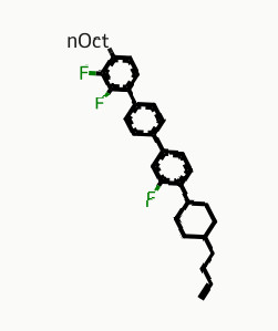 C=CCCC1CCC(c2ccc(-c3ccc(-c4ccc(CCCCCCCC)c(F)c4F)cc3)cc2F)CC1